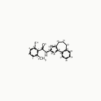 Cc1cccc(F)c1C(=O)Nc1nc2c(s1)-c1ccccc1CCC2